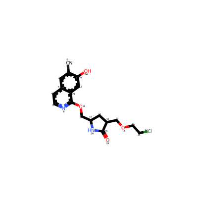 N#Cc1cc2ccnc(OCC3CC(COCCCl)C(=O)N3)c2cc1O